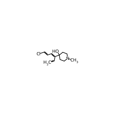 C=C/C(=C\C=C\Cl)C1(O)CCN(C)CC1